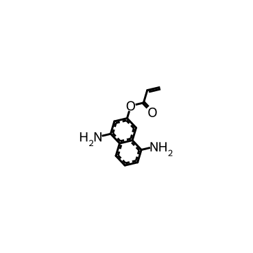 C=CC(=O)Oc1cc(N)c2cccc(N)c2c1